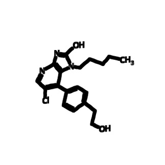 CCCCCn1c(O)nc2ncc(Cl)c(-c3ccc(CCO)cc3)c21